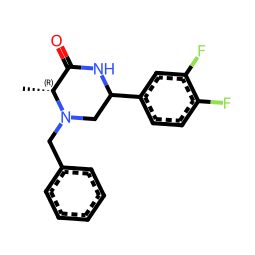 C[C@@H]1C(=O)NC(c2ccc(F)c(F)c2)CN1Cc1ccccc1